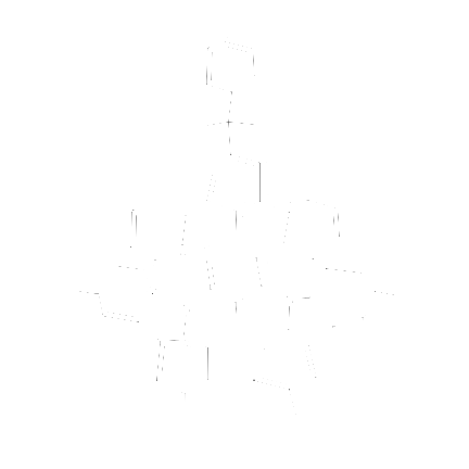 Cc1ccc2c(c1)c1cc(C)cc3c1n2-c1c2c(c4c5ccccc5c5cc(C(C)(C)c6ccccc6)cc6c7ccccc7c1c4c65)-n1c4ccc(C)cc4c4cc(C)cc(c41)B23